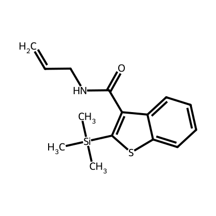 C=CCNC(=O)c1c([Si](C)(C)C)sc2ccccc12